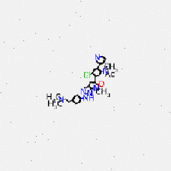 CC(=O)N(C)c1cc(-c2cc3cnc(Nc4ccc(CCN(C)C)cc4)nc3n(C)c2=O)c(Cl)cc1-c1cccnc1